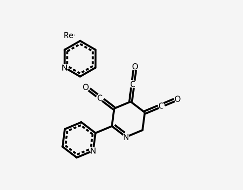 O=C=C1CN=C(c2ccccn2)C(=C=O)C1=C=O.[Re].c1ccncc1